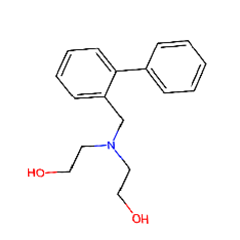 OCCN(CCO)Cc1ccccc1-c1ccccc1